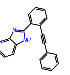 C(#Cc1ccccc1-c1nc2ncccc2[nH]1)c1ccccc1